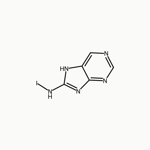 INc1nc2ncncc2[nH]1